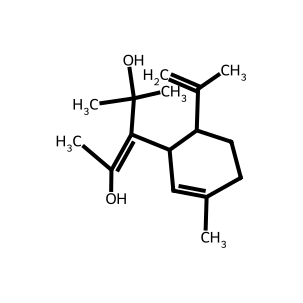 C=C(C)C1CCC(C)=CC1/C(=C(/C)O)C(C)(C)O